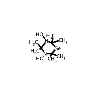 CC1(C)[Se]C(C)(C)N(O)C(C)(C)N1O